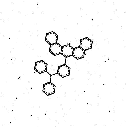 c1ccc(P(c2ccccc2)c2cccc(-c3c4ccc5ccccc5c4nc4c3ccc3ccccc34)c2)cc1